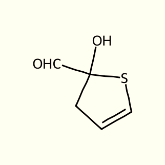 O=CC1(O)CC=CS1